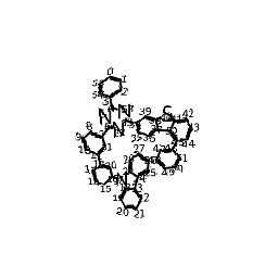 c1ccc(-c2nc(-c3cccc(-c4cccc(-n5c6ccccc6c6ccccc65)c4)c3)nc(-c3ccc4c(c3)sc3cccc(-c5ccccc5)c34)n2)cc1